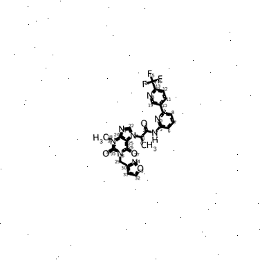 CC(C(=O)Nc1cccc(-c2ccc(C(F)(F)F)nc2)n1)n1cnc2c1c(=O)n(Cc1ccon1)c(=O)n2C